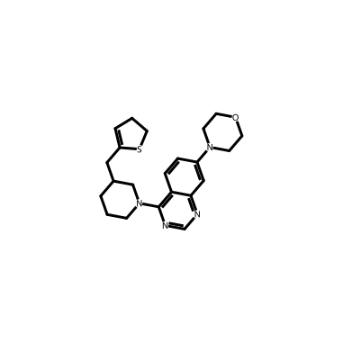 C1=C(CC2CCCN(c3ncnc4cc(N5CCOCC5)ccc34)C2)SCC1